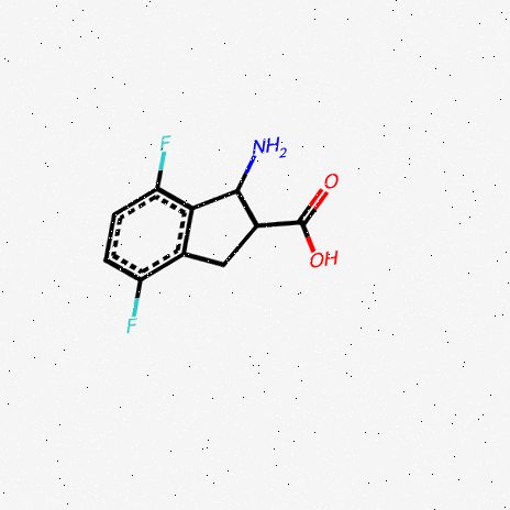 NC1c2c(F)ccc(F)c2CC1C(=O)O